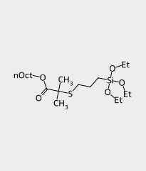 CCCCCCCCOC(=O)C(C)(C)SCCC[Si](OCC)(OCC)OCC